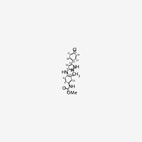 COC(=O)Nc1ccc(Nc2cc(-c3ccc(Cl)cc3)[nH]n2)c(C)c1